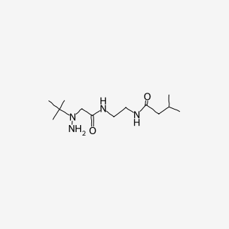 CC(C)CC(=O)NCCNC(=O)CN(N)C(C)(C)C